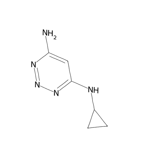 Nc1cc(NC2CC2)nnn1